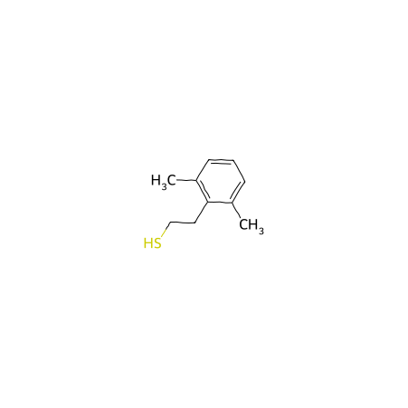 Cc1cccc(C)c1CCS